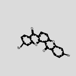 O=c1c2ccc(Br)cc2oc2c1ccc1oc3cc(Br)ccc3c(=O)c12